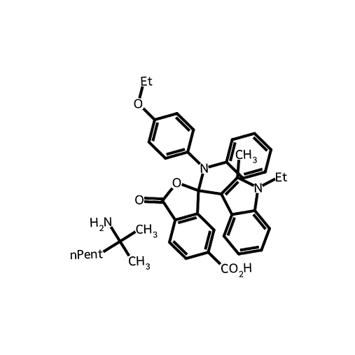 CCCCCC(C)(C)N.CCOc1ccc(N(c2ccccc2)C2(c3c(C)n(CC)c4ccccc34)OC(=O)c3ccc(C(=O)O)cc32)cc1